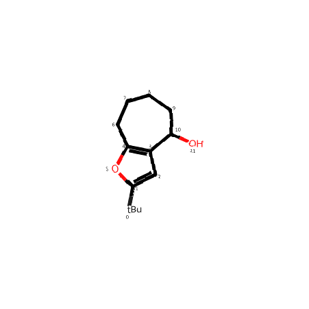 CC(C)(C)c1cc2c(o1)CCCCC2O